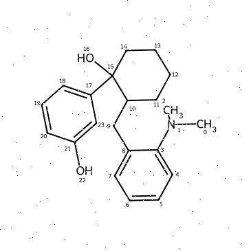 CN(C)c1ccccc1CC1CCCCC1(O)c1cccc(O)c1